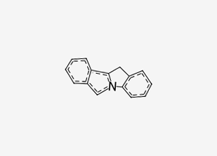 c1ccc2c(c1)Cc1c3ccccc3cn1-2